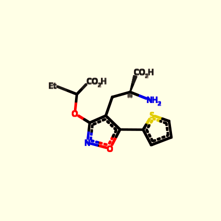 CCC(Oc1noc(-c2cccs2)c1C[C@H](N)C(=O)O)C(=O)O